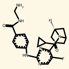 NCNC(=O)c1ccc(Nc2ncc(F)c(N3CC4C[C@H](C3)N4C(=O)C3CC3)n2)cc1